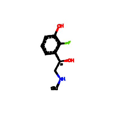 CC(C)(C)NC[C@H](O)c1cccc(O)c1F